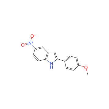 COc1ccc(-c2cc3cc([N+](=O)[O-])ccc3[nH]2)cc1